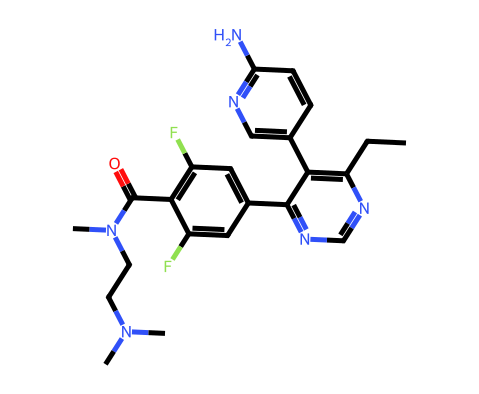 CCc1ncnc(-c2cc(F)c(C(=O)N(C)CCN(C)C)c(F)c2)c1-c1ccc(N)nc1